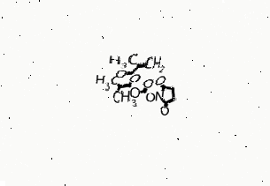 C=C(C)C(=O)OC(OC(=O)ON1C(=O)CCC1=O)C(C)C